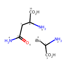 CCC(C)C(N)C(=O)O.NC(=O)CC(N)C(=O)O